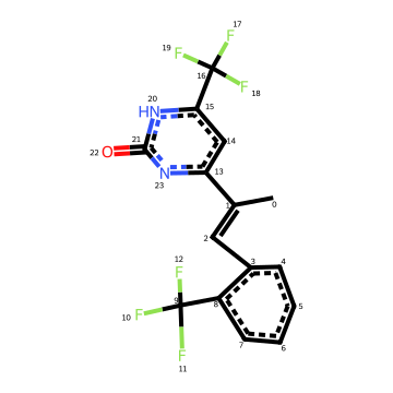 C/C(=C\c1ccccc1C(F)(F)F)c1cc(C(F)(F)F)[nH]c(=O)n1